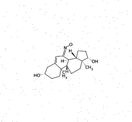 C[C@]12CC[C@H]3[C@@H](/C(=N\[O])C=C4C[C@@H](O)CC[C@@]43C)[C@@H]1CC[C@@H]2O